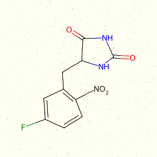 O=C1NC(=O)C(Cc2cc(F)ccc2[N+](=O)[O-])N1